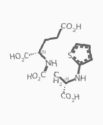 C[C@H](Nc1cccs1)C(=O)O.O=C(O)CC[C@H](NC(=O)O)C(=O)O